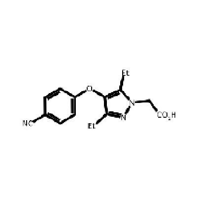 CCc1nn(CC(=O)O)c(CC)c1Oc1ccc(C#N)cc1